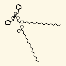 CCCCCCCCCCCCCCCCO[C@H](COC(=O)CCCCCCCCCCCCCCC)COP(OCc1ccccc1)OCc1ccccc1